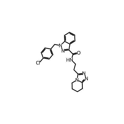 O=C(NCCc1nnc2n1CCCC2)c1nn(Cc2ccc(Cl)cc2)c2ccccc12